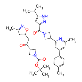 Cc1cc(CC(=O)C2CN(C(=O)OC(C)(C)C)C2)on1.Cc1ccc(-c2cc(C)nc(C3CN(C(=O)c4cc(C(C)C)[nH]n4)C3)c2)cc1